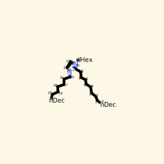 CCCCCCCCCCCCCCCCCCc1n(CCCCCC)cc[n+]1CCCCCCCCCCCCCCCC